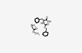 COC(=O)CN.O=C(N[C@@H](Cc1ccccc1)C(=O)O)OCc1ccccc1